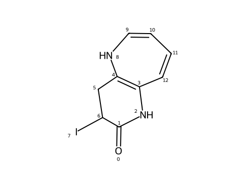 O=C1NC2=C(CC1I)NC=CC=C2